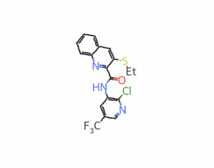 CCSc1cc2ccccc2nc1C(=O)Nc1cc(C(F)(F)F)cnc1Cl